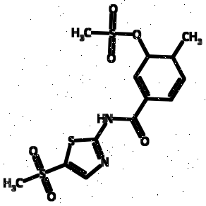 CC1C=CC(C(=O)Nc2ncc(S(C)(=O)=O)s2)=CC1OS(C)(=O)=O